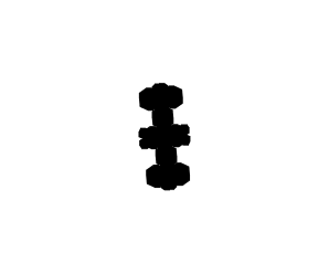 Cc1cc2c(cc1C)N(c1ccc(N3c4ccccc4C(C)(C)c4ccccc43)cc1)c1cc(C)c(C)cc1N2c1ccc(N2c3ccccc3C(C)(C)c3ccccc32)cc1